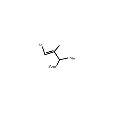 CCCC(C)C(OC)C(C)=CC(C)=O